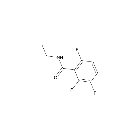 CCNC(=O)c1c(F)ccc(F)c1F